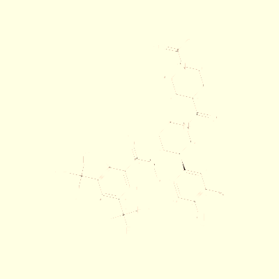 CC(=O)N1CCC(C(=O)N2CC[C@@H](N(C)C(=O)c3cc(C(F)(F)F)cc(C(F)(F)F)c3)[C@H](c3ccc(Cl)c(C)c3)C2)CC1